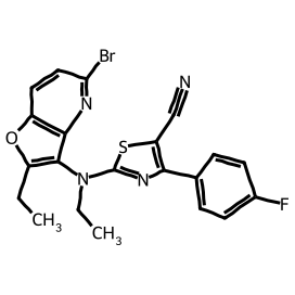 CCc1oc2ccc(Br)nc2c1N(CC)c1nc(-c2ccc(F)cc2)c(C#N)s1